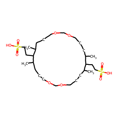 CC1CCCOCOCCCC(C)C(CCS(=O)(=O)O)C(C)CCCOCOCCCC(C)C1CCS(=O)(=O)O